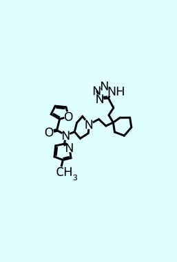 Cc1ccc(N(C(=O)c2ccco2)C2CCN(CCC3(CCc4nnn[nH]4)CCCCC3)CC2)nc1